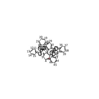 COc1cccc(P(=O)(Oc2ccccc2)Oc2ccccc2)c1-c1c(OC)cccc1P(=O)(Oc1ccccc1)Oc1ccccc1